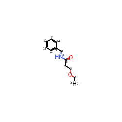 [2H]COCCC(=O)NCc1ccccc1